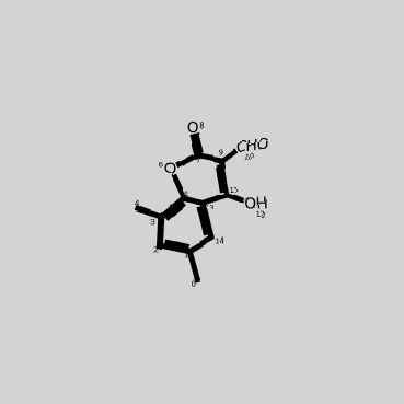 Cc1cc(C)c2oc(=O)c(C=O)c(O)c2c1